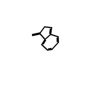 C=C1CC=C2C=CC=CC=C12